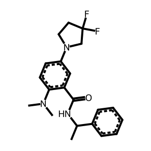 CC(NC(=O)c1cc(N2CCC(F)(F)C2)ccc1N(C)C)c1ccccc1